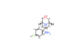 N[C@H]1C[C@H]2COC[C@@H](C1)N2Cc1ccc(F)cc1